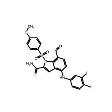 COc1ccc(S(=O)(=O)n2c(C(N)=O)cc3c(Nc4ccc(F)c(F)c4)ccc(N=O)c32)cc1